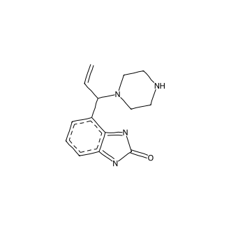 C=CC(c1cccc2c1=NC(=O)N=2)N1CCNCC1